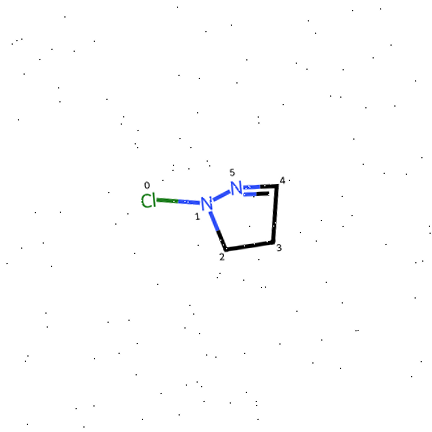 ClN1CCC=N1